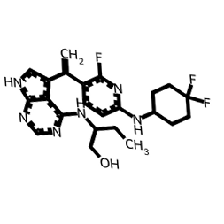 C=C(c1ccc(NC2CCC(F)(F)CC2)nc1F)c1c[nH]c2ncnc(NC(CC)CO)c12